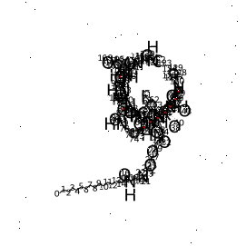 CCCCCCCCCCCCCCCC(=O)NCC[N+](C)(C)CCOCCOCCC(=O)NC[C@H]1NC(=O)[C@H](C)NC(=O)CCC(=O)N2CCCCCCn3cc(c4cc(F)ccc43)C[C@@H]3NC(=O)[C@H](Cc4cccc(c4)CNC(=O)CO[C@H]4CCN(C3=O)[C@@H]4C(=O)N[C@@H]([C@@H](C)O)C(=O)N[C@@H](Cc3ccc(OC)cc3)C(=O)N3CCC[C@@]3(C)C(=O)NCCc3ccc(cc3)C2)NC1=O